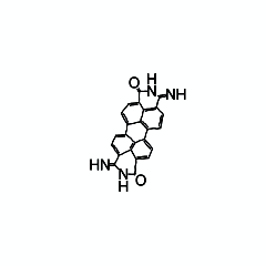 N=C1NC(=O)c2ccc3c4ccc5c6c(ccc(c7ccc1c2c73)c64)C(=O)NC5=N